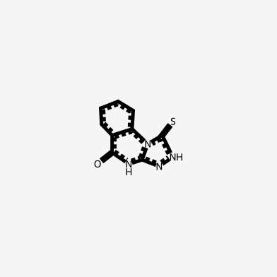 O=c1[nH]c2n[nH]c(=S)n2c2ccccc12